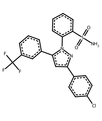 NS(=O)(=O)c1ccccc1-n1nc(-c2ccc(Cl)cc2)cc1-c1cccc(C(F)(F)F)c1